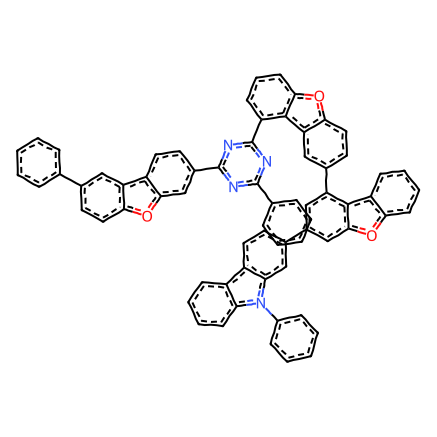 c1ccc(-c2ccc3oc4cc(-c5nc(-c6ccccc6)nc(-c6cccc7oc8ccc(-c9cc(-c%10ccc%11c%12ccccc%12n(-c%12ccccc%12)c%11c%10)cc%10oc%11ccccc%11c9%10)cc8c67)n5)ccc4c3c2)cc1